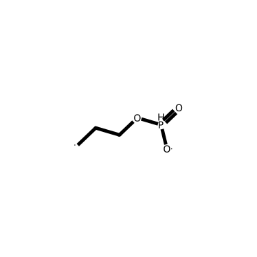 [CH2]CCO[PH]([O])=O